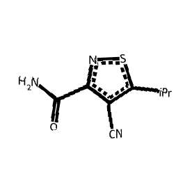 CC(C)c1snc(C(N)=O)c1C#N